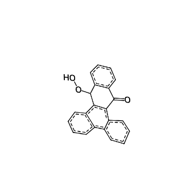 O=C1c2ccccc2C(OO)c2c1c1ccccc1c1ccccc21